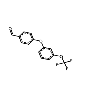 O=Cc1ccc(Oc2cccc(OC(F)(F)F)c2)cc1